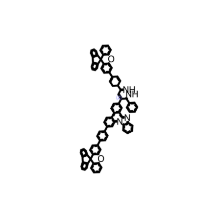 N=C(/C(=C\C(=N)C1C=CC(c2ccc3c(c2)Oc2ccccc2C32c3ccccc3-c3ccccc32)=CC1)c1ccc2c3ccc(-c4ccc(-c5ccc6c(c5)Oc5ccccc5C65c6ccccc6-c6ccccc65)cc4)cc3n3c4ccccc4nc3c2c1)c1ccccc1